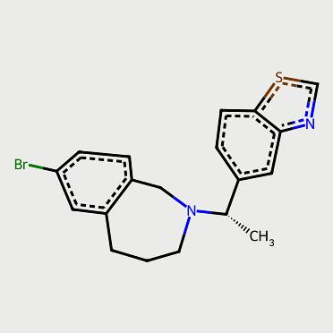 C[C@@H](c1ccc2scnc2c1)N1CCCc2cc(Br)ccc2C1